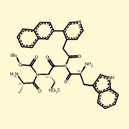 C[C@H](N)C(=O)N(C(=O)OC(C)(C)C)[C@@H](CC(=O)O)C(=O)N(C(=O)Cc1ccncc1-c1ccc2ccccc2c1)C(=O)[C@@H](N)Cc1c[nH]c2ccccc12